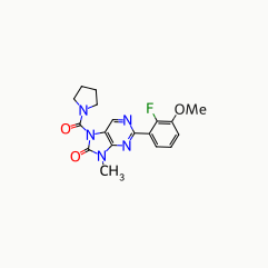 COc1cccc(-c2ncc3c(n2)n(C)c(=O)n3C(=O)N2CCCC2)c1F